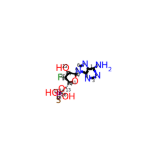 Nc1ncnc2c1ncn2[C@@H]1O[C@H](COP(O)(O)=S)[C@H](F)[C@@H]1O